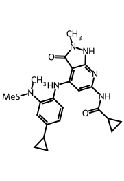 CSN(C)c1cc(C2CC2)ccc1Nc1cc(NC(=O)C2CC2)nc2[nH]n(C)c(=O)c12